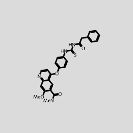 CNC(=O)c1cc2c(Oc3ccc(NC(=S)NC(=O)Cc4ccccc4)cc3)ccnc2cc1OC